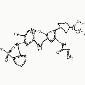 C=CC(=O)Nc1cc(Nc2ncc(Cl)c(Nc3ccccc3S(=O)(=O)C(C)C)n2)c(OC)cc1N1CCC(N(C)C)C1